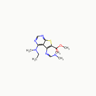 CCN(C)c1ncnc2sc(C(=O)OC)c(/N=C\N(C)C)c12